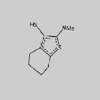 CNc1sc2c(c1S)CCCC2